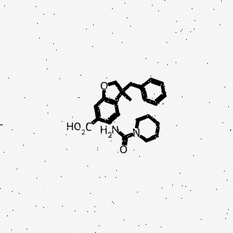 CC1(Cc2ccccc2)COc2cc(C(=O)O)ccc21.NC(=O)N1CCCCC1